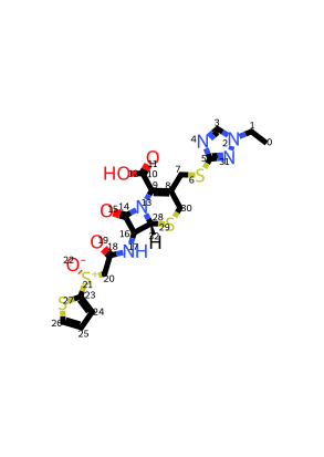 CCn1cnc(SCC2=C(C(=O)O)N3C(=O)C(NC(=O)C[S+]([O-])c4cccs4)[C@H]3SC2)n1